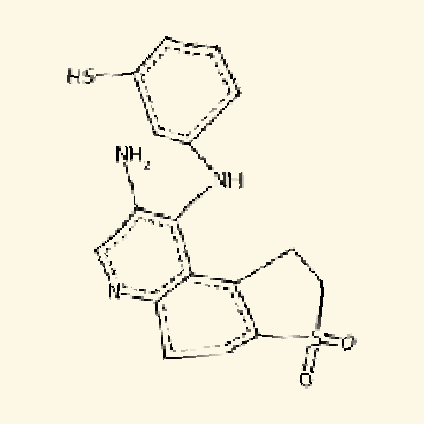 Nc1cnc2ccc3c(c2c1Nc1cccc(S)c1)CCS3(=O)=O